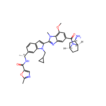 COc1cc(C(=O)N2[C@H]3CC[C@@H]2[C@H](N)C3)cc2nc(-c3cc4ccc([C@@H](C)NC(=O)c5cnc(C)o5)cc4n3CC3CC3)n(C)c12